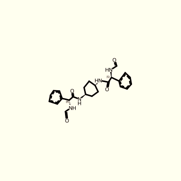 O=CN[C@H](C(=O)N[C@H]1CC[C@H](NC(=O)[C@H](NC=O)c2ccccc2)CC1)c1ccccc1